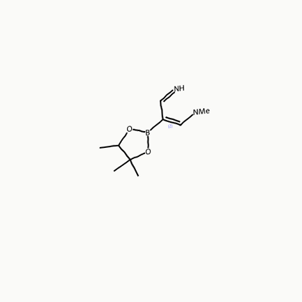 CN/C=C(\C=N)B1OC(C)C(C)(C)O1